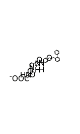 O=C([O-])CNC(=O)OC[n+]1cccc(CNC(=O)Nc2ccc(OCCc3ccccc3-c3ccccc3)cc2)c1